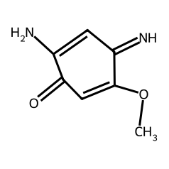 COC1=CC(=O)C(N)=CC1=N